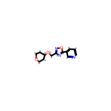 c1cncc(-c2nc(COC3CCOCC3)no2)c1